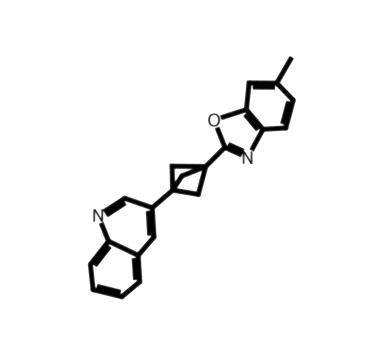 Cc1ccc2nc(C34CC(c5cnc6ccccc6c5)(C3)C4)oc2c1